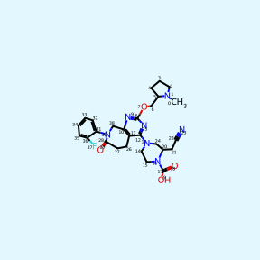 CN1CCCC1COc1nc2c(c(N3CCN(C(=O)O)C(CC#N)C3)n1)CCC(=O)N(c1ccccc1F)C2